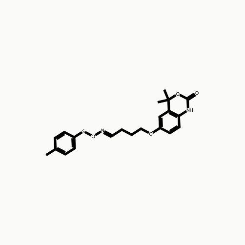 Cc1ccc(SON=CCCCOc2ccc3c(c2)C(C)(C)OC(=O)N3)cc1